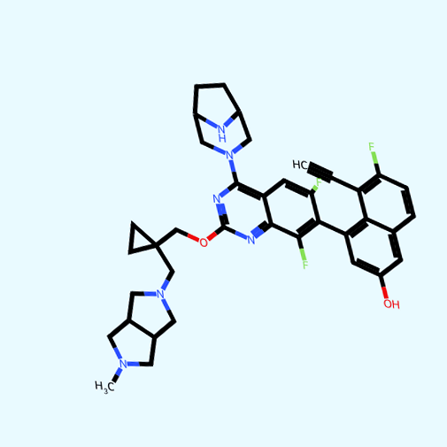 C#Cc1c(F)ccc2cc(O)cc(-c3c(F)cc4c(N5CC6CCC(C5)N6)nc(OCC5(CN6CC7CN(C)CC7C6)CC5)nc4c3F)c12